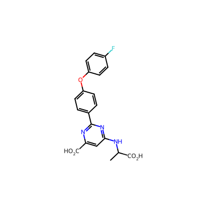 CC(Nc1cc(C(=O)O)nc(-c2ccc(Oc3ccc(F)cc3)cc2)n1)C(=O)O